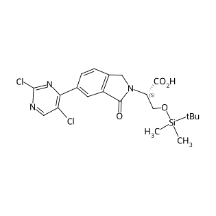 CC(C)(C)[Si](C)(C)OC[C@@H](C(=O)O)N1Cc2ccc(-c3nc(Cl)ncc3Cl)cc2C1=O